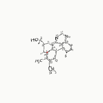 Cc1ccc(-c2cccc3ncnc(N4CCCC(C(=O)O)C4)c23)cc1C